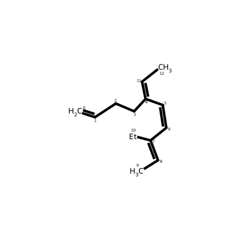 C=CCCC(/C=C\C(=C\C)CC)=C/C